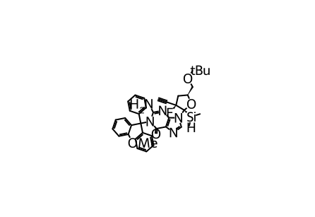 C#C[C@]1(F)C[C@@H](COC(C)(C)C)O[C@@]1(n1cnc2c(=O)n(C(c3ccccc3)(c3ccccc3)c3ccccc3OC)c(N)nc21)[SiH](C)C